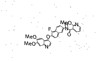 COc1cc2nccc(Oc3ccc4cc(NC(=O)c5cccnc5OC)ccc4c3F)c2cc1OC